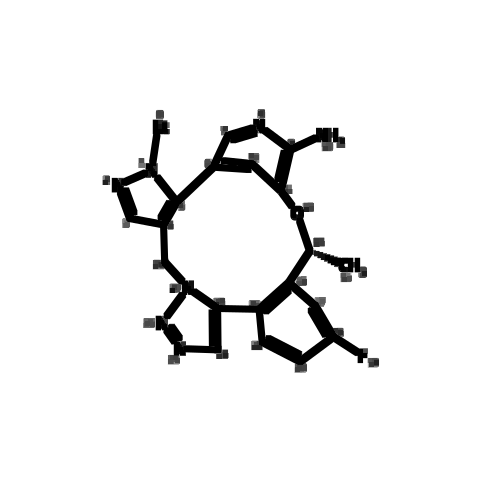 CCn1ncc2c1-c1cnc(N)c(c1)O[C@H](C)c1cc(F)ccc1-c1cnnn1C2